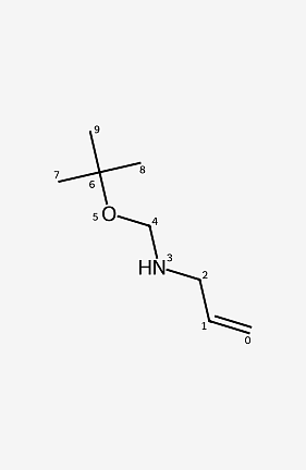 C=CCNCOC(C)(C)C